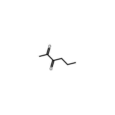 CCCC(=O)C(C)=O